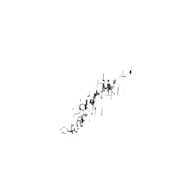 COc1cnc(-c2nc(C(=O)NCCNC(=N)NCCOCCOCI)cs2)c2[nH]cc(C(=O)C(=O)N3CCN(C(=O)c4ccccc4)CC3)c12